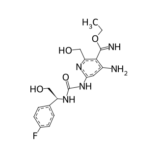 CCOC(=N)c1c(N)cc(NC(=O)N[C@H](CO)c2ccc(F)cc2)nc1CO